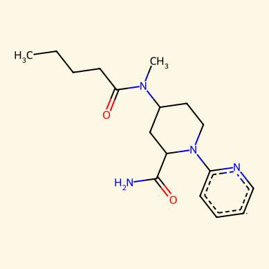 CCCCC(=O)N(C)C1CCN(c2cc[c]cn2)C(C(N)=O)C1